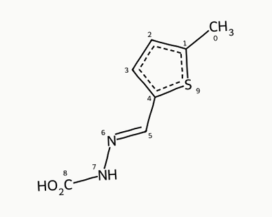 Cc1ccc(C=NNC(=O)O)s1